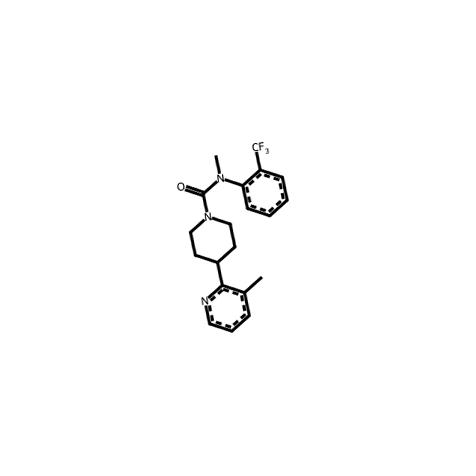 Cc1cccnc1C1CCN(C(=O)N(C)c2ccccc2C(F)(F)F)CC1